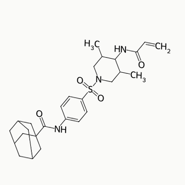 C=CC(=O)NC1C(C)CN(S(=O)(=O)c2ccc(NC(=O)C34CC5CC(CC(C5)C3)C4)cc2)CC1C